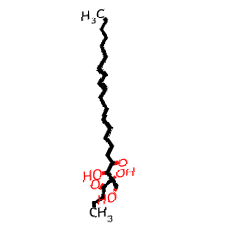 CCCCCCCCC=CCCCCCCCC(=O)C(O)C(O)(CO)C(=O)CCC